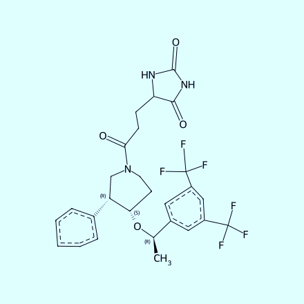 C[C@@H](O[C@H]1CCN(C(=O)CCC2NC(=O)NC2=O)C[C@H]1c1ccccc1)c1cc(C(F)(F)F)cc(C(F)(F)F)c1